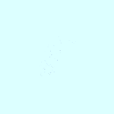 CC[C@H](C)COC(=O)OC[C@@]1(C)O[C@@H](c2ccc3c(N)ncnn23)[C@H](O)C1O